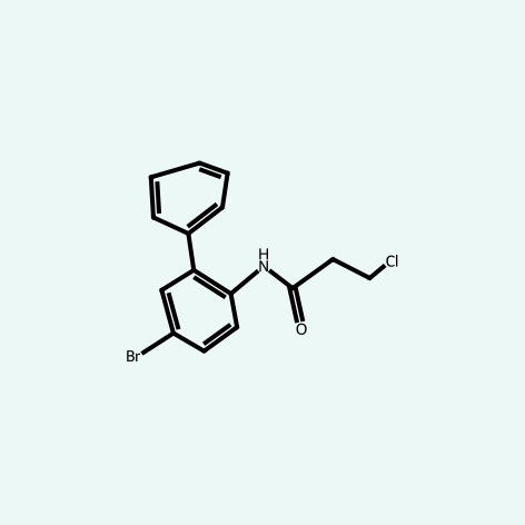 O=C(CCCl)Nc1ccc(Br)cc1-c1ccccc1